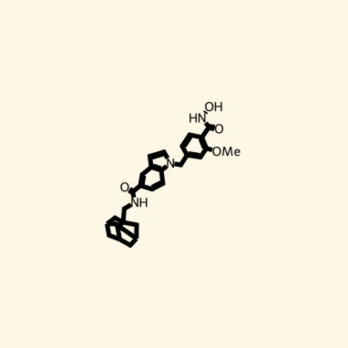 COc1cc(Cn2ccc3cc(C(=O)NCC45CC6CC(CC(C6)C4)C5)ccc32)ccc1C(=O)NO